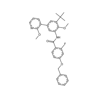 COc1ncccc1-c1cc(NC(=O)c2ccc(OCc3ccccc3)cc2F)c(OC)c(C(C)(C)C)c1